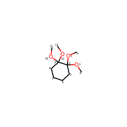 COC1(OC)CCCCC1(OC)OC